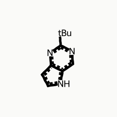 CC(C)(C)c1ncc2[nH]ccc2n1